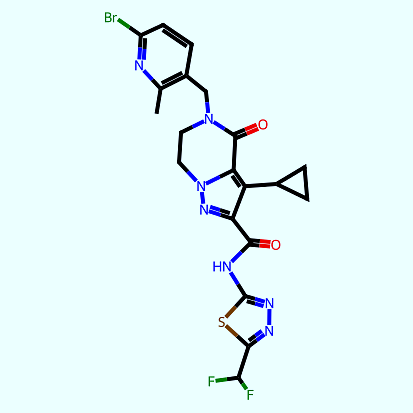 Cc1nc(Br)ccc1CN1CCn2nc(C(=O)Nc3nnc(C(F)F)s3)c(C3CC3)c2C1=O